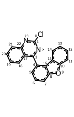 Clc1nc(-c2cccc3oc4ccccc4c23)c2ccccc2n1